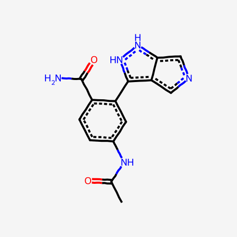 CC(=O)Nc1ccc(C(N)=O)c(-c2[nH][nH]c3cncc2-3)c1